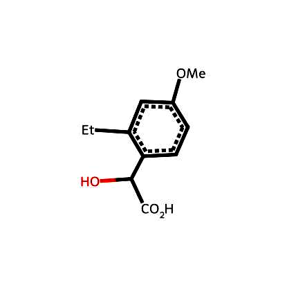 CCc1cc(OC)ccc1C(O)C(=O)O